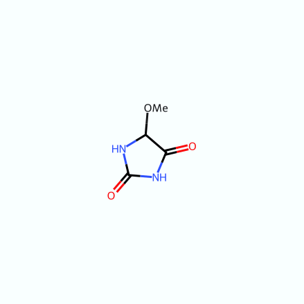 COC1NC(=O)NC1=O